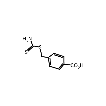 NC(=S)SCc1ccc(C(=O)O)cc1